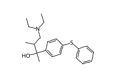 CCN(CC)CC(C)C(C)(O)c1ccc(Sc2ccccc2)cc1